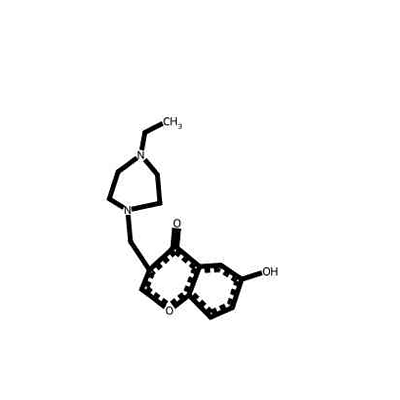 CCN1CCN(Cc2coc3ccc(O)cc3c2=O)CC1